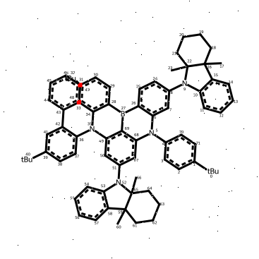 CC(C)(C)c1ccc(N2c3cc(N4c5ccccc5C5(C)CCCCC45C)ccc3B3c4ccc(C(C)(C)C)cc4N(c4ccc(C(C)(C)C)cc4-c4ccccc4)c4cc(N5c6ccccc6C6(C)CCCCC56C)cc2c43)cc1